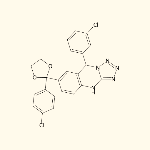 Clc1ccc(C2(c3ccc4c(c3)C(c3cccc(Cl)c3)n3nnnc3N4)OCCO2)cc1